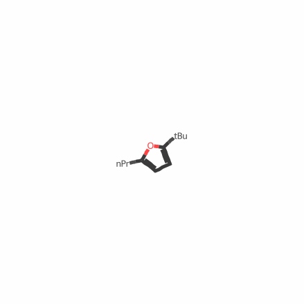 CCCc1ccc(C(C)(C)C)o1